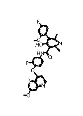 COc1cnc2c(Oc3ccc(NC(=O)c4c(C)nc(C)c(-c5ccc(F)cc5OC)c4O)cc3F)ccnc2c1